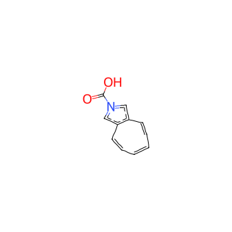 O=C(O)n1cc2c(c1)C=CC=CC=C2